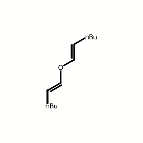 CCCC/C=C/O/C=C/CCCC